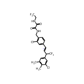 Cc1cc(C(/C=C/c2ccc(CNC(=O)C(=O)NCC(F)(F)F)c(Cl)c2)C(F)(F)F)cc(Cl)c1C